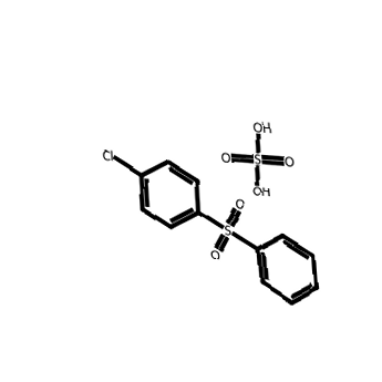 O=S(=O)(O)O.O=S(=O)(c1ccccc1)c1ccc(Cl)cc1